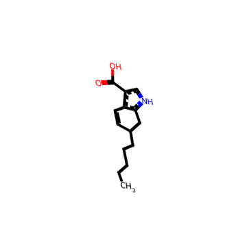 CCCCCC1C=Cc2c(C(=O)O)c[nH]c2C1